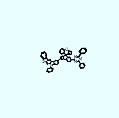 c1ccc(-c2nc(-c3ccccc3)nc(-c3ccc4c(c3)C3(c5ccccc5Oc5ccccc53)c3ccc(-c5ccc6c(c5)c5cc7c(cc5n6-c5ccccc5)sc5ccccc57)cc3-4)n2)cc1